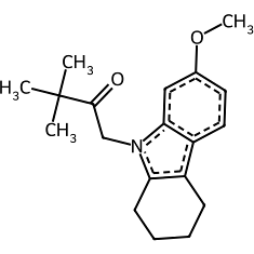 COc1ccc2c3c(n(CC(=O)C(C)(C)C)c2c1)CCCC3